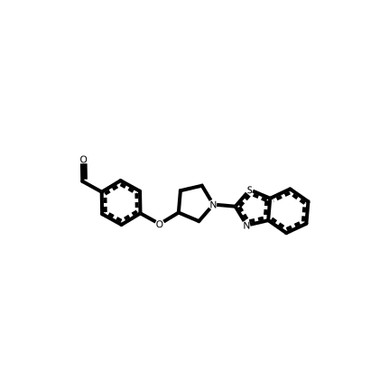 O=Cc1ccc(OC2CCN(c3nc4ccccc4s3)C2)cc1